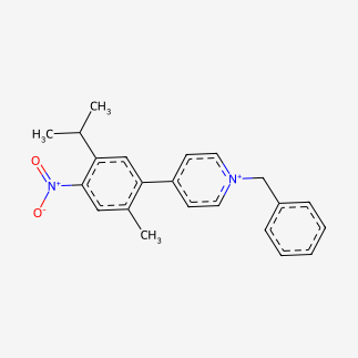 Cc1cc([N+](=O)[O-])c(C(C)C)cc1-c1cc[n+](Cc2ccccc2)cc1